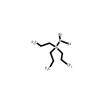 CCN(CC)[Si](CCC(F)(F)F)(CCC(F)(F)F)CCC(F)(F)F